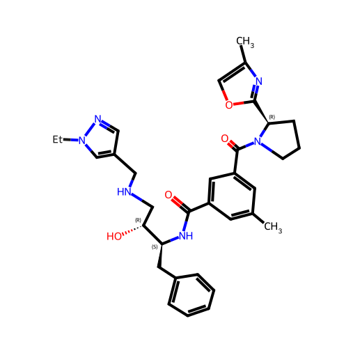 CCn1cc(CNC[C@@H](O)[C@H](Cc2ccccc2)NC(=O)c2cc(C)cc(C(=O)N3CCC[C@@H]3c3nc(C)co3)c2)cn1